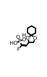 O=P(O)(O)C(F)=CC1COC2(CCCCC2)O1